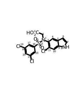 O=C(O)CN(c1cc2cc[nH]c2cc1Cl)S(=O)(=O)c1cc(Cl)cc(Cl)c1